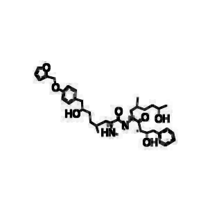 CN[C@@H](CC(C)CCC(O)Cc1ccc(OCc2ccco2)cc1)C(=O)N(C)[C@@H](CC(C)CCC(C)O)C(=O)[CH]C(O)Cc1ccccc1